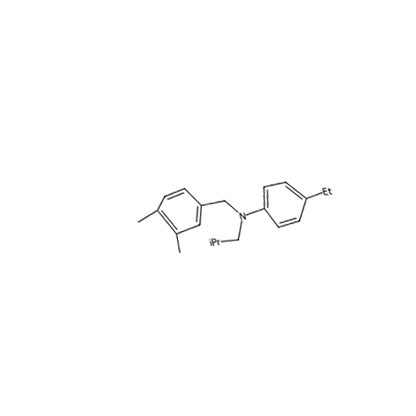 CCc1ccc(N(Cc2ccc(C)c(C)c2)CC(C)C)cc1